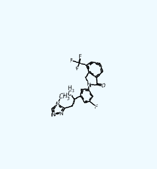 CC(Cc1nncn1C)c1cc(F)cc(N2Cc3c(cccc3C(F)(F)F)C2=O)c1